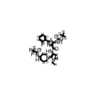 CCn1ncc(NC(=O)c2nc(-c3ccccc3F)sc2NC(=O)OC(C)(C)C)c1N1CCC[C@@H](NC(=O)C(F)(F)F)CC1